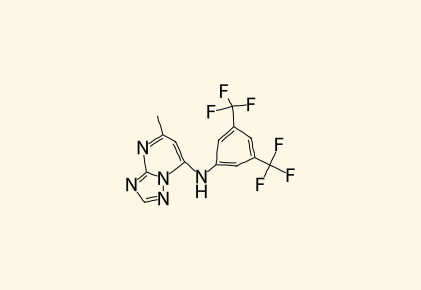 Cc1cc(Nc2cc(C(F)(F)F)cc(C(F)(F)F)c2)n2ncnc2n1